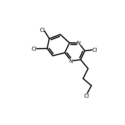 ClCCCc1nc2cc(Cl)c(Cl)cc2nc1Cl